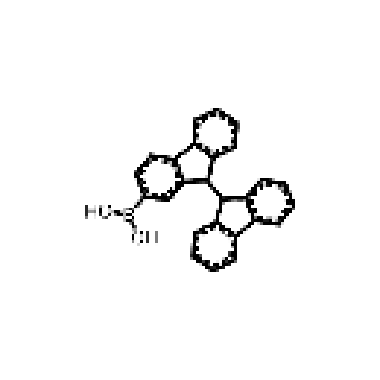 OB(O)c1ccc2c(c1)C(C1c3ccccc3-c3ccccc31)c1ccccc1-2